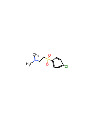 CN(C)CCS(=O)(=O)c1ccc(Cl)cc1